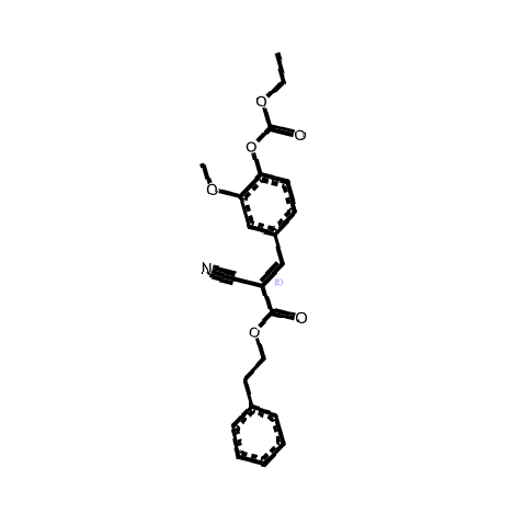 CCOC(=O)Oc1ccc(/C=C(\C#N)C(=O)OCCc2ccccc2)cc1OC